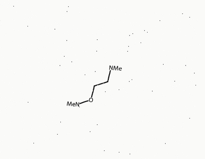 CNCCONC